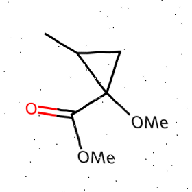 COC(=O)C1(OC)CC1C